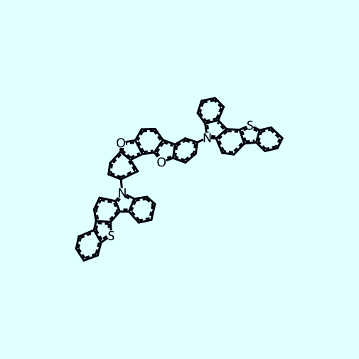 c1ccc2c(c1)sc1c2ccc2c1c1ccccc1n2-c1ccc2oc3c(ccc4oc5ccc(-n6c7ccccc7c7c8sc9ccccc9c8ccc76)cc5c43)c2c1